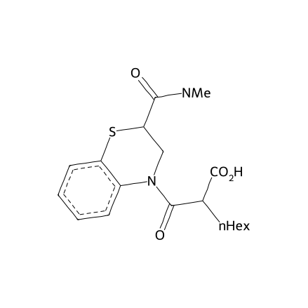 CCCCCCC(C(=O)O)C(=O)N1CC(C(=O)NC)Sc2ccccc21